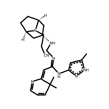 Cc1cc(NC(/C=C2/N=CC=CC2(C)C)=N/CN[C@@H]2C[C@H]3CC[C@@H](C2)N3CCC#N)n[nH]1